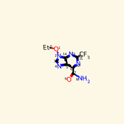 CCOn1cnc2c(C(N)=O)nc(C(F)(F)F)nc21